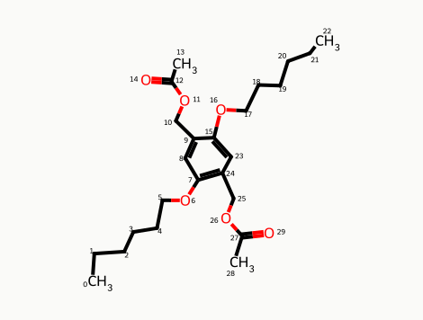 CCCCCCOc1cc(COC(C)=O)c(OCCCCCC)cc1COC(C)=O